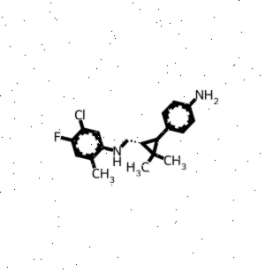 Cc1cc(F)c(Cl)cc1NC[C@@H]1C(c2ccc(N)cc2)C1(C)C